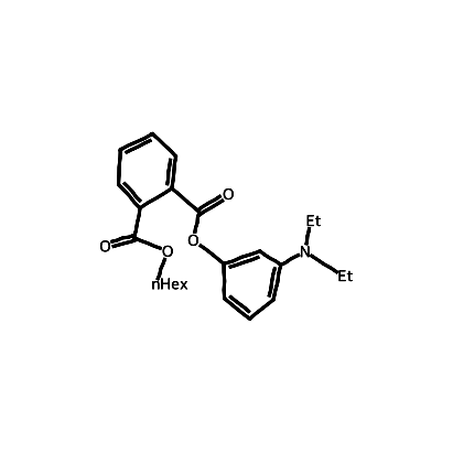 CCCCCCOC(=O)c1ccccc1C(=O)Oc1cccc(N(CC)CC)c1